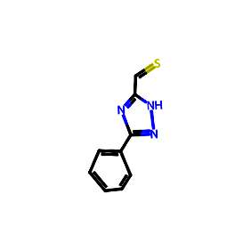 S=Cc1nc(-c2ccccc2)n[nH]1